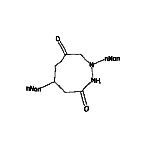 CCCCCCCCCC1CC(=O)CN(CCCCCCCCC)NC(=O)C1